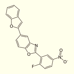 O=[N+]([O-])c1ccc(F)c(-c2nc3cc(-c4cc5ccccc5o4)ccc3o2)c1